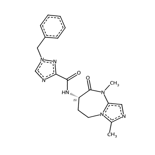 Cc1ncc2n1CC[C@H](NC(=O)c1ncn(Cc3ccccc3)n1)C(=O)N2C